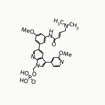 COc1cc(NC(=O)/C=C/CN(C)C)cc(-c2cnc3c(c2)c(-c2ccnc(OC)c2)cn3COP(=O)(O)O)c1